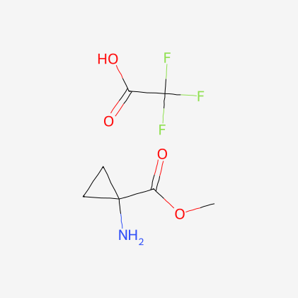 COC(=O)C1(N)CC1.O=C(O)C(F)(F)F